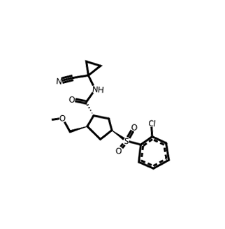 COC[C@@H]1C[C@H](S(=O)(=O)c2ccccc2Cl)C[C@H]1C(=O)NC1(C#N)CC1